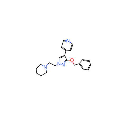 c1ccc(COc2nn(CCN3CCCCC3)cc2-c2ccncc2)cc1